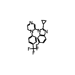 Fc1ccc2nc(C3CC3)n(C3=CN=CCN3c3ccc(C(F)(F)F)cc3)c2c1